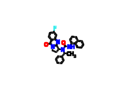 CC(c1ccccc1)N(C(=O)Nc1cccc2ccccc12)C1CCn2c1nc1cc(F)ccc1c2=O